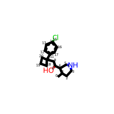 CC1CCNCC1C(O)CC1(c2ccc(Cl)cc2)CCC1